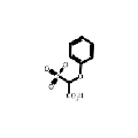 O=C(O)C(Oc1ccccc1)S(=O)(=O)Cl